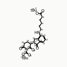 CC(C)(C)OC(=O)CCCCCNc1cccc2c1CN(C1CCC(=O)N(C(=O)OC(C)(C)C)C1=O)C2=O